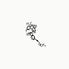 COCC#Cc1cnc2[nH]cc(-c3ncc(F)c(N[C@@H](C)c4ccc(F)cc4)n3)c2c1